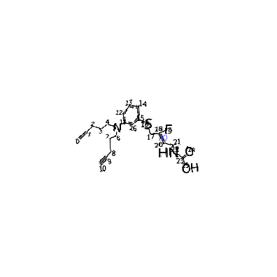 C#CCCCN(CCCC#C)c1cccc(SC/C(F)=C/CNC(=O)O)c1